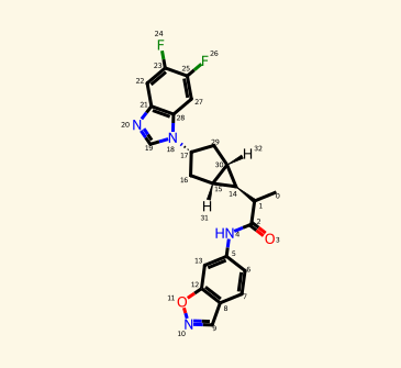 CC(C(=O)Nc1ccc2cnoc2c1)[C@H]1[C@@H]2C[C@H](n3cnc4cc(F)c(F)cc43)C[C@@H]21